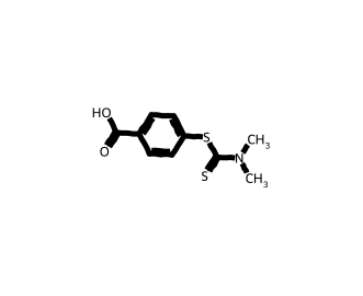 CN(C)C(=S)Sc1ccc(C(=O)O)cc1